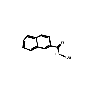 CC(C)(C)NC(=O)c1ccc2ccccc2c1